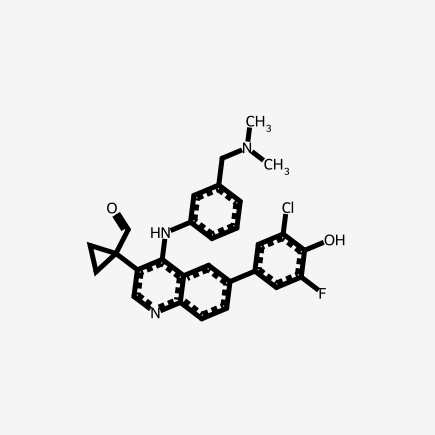 CN(C)Cc1cccc(Nc2c(C3(C=O)CC3)cnc3ccc(-c4cc(F)c(O)c(Cl)c4)cc23)c1